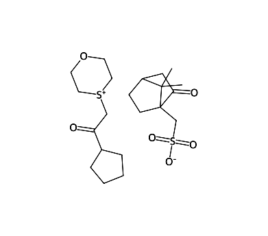 CC1(C)C2CCC1(CS(=O)(=O)[O-])C(=O)C2.O=C(C[S+]1CCOCC1)C1CCCC1